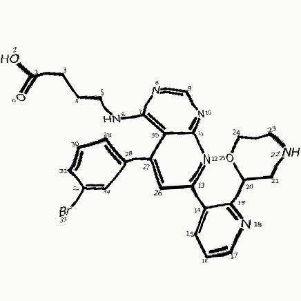 O=C(O)CCCNc1ncnc2nc(-c3cccnc3C3CNCCO3)cc(-c3cccc(Br)c3)c12